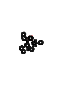 c1ccc(-c2nc(-c3ccccc3)nc(-c3cccc4oc5c(-c6cccc7ccccc67)cc(-n6c7ccccc7c7c8ccccc8ccc76)cc5c34)n2)cc1